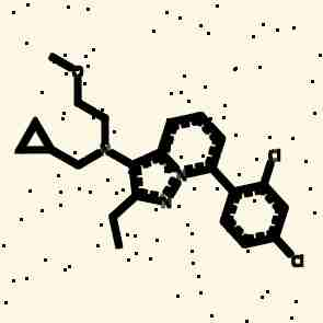 CCc1nn2c(-c3ccc(Cl)cc3Cl)cccc2c1N(CCOC)CC1CC1